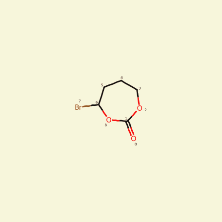 O=C1OCCCC(Br)O1